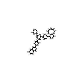 C1=CCC(c2nc(-c3ccc(-c4ccc5c(c4)C=CCC5)cc3)nc(-c3ccc(-c4cccc5c4C/C=C\C=C/CO5)cc3)n2)C=C1